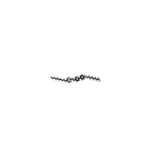 CCCCCCCCCCC1COC(CCc2ccc(-c3ccc(OCCCCCCCCC)cc3)nc2)OC1